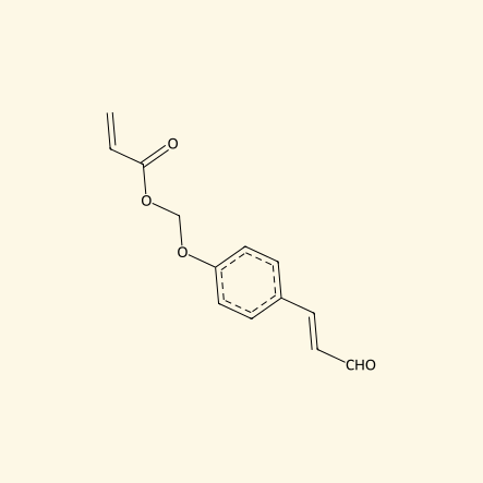 C=CC(=O)OCOc1ccc(/C=C/C=O)cc1